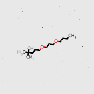 CCCCOCCCOCCCC(C)(C)C